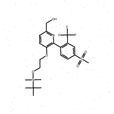 CC(C)(C)[Si](C)(C)OCCOc1ccc(CO)nc1-c1ccc(S(C)(=O)=O)cc1C(F)(F)F